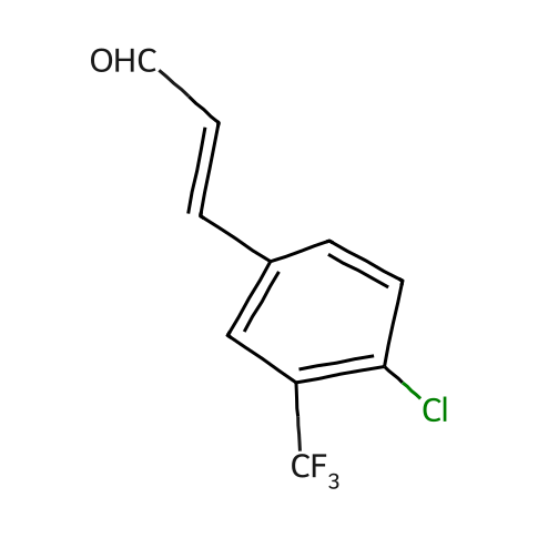 O=CC=Cc1ccc(Cl)c(C(F)(F)F)c1